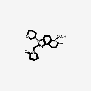 C[C@H]1CCc2c(ccc3c2nc(Cn2ccccc2=O)n3[C@@H]2CCCOC2)N1C(=O)O